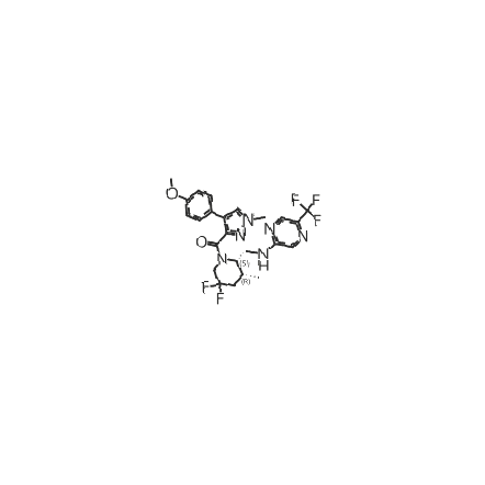 COc1ccc(-c2cn(C)nc2C(=O)N2CC(F)(F)C[C@@H](C)[C@H]2CNc2cnc(C(F)(F)F)cn2)cc1